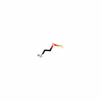 CCCOP